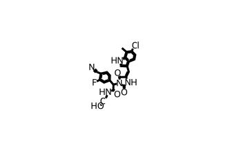 Cc1c(Cl)ccc2c(C=C3NC(=O)N(C(C(=O)NCCO)c4ccc(C#N)c(F)c4)C3=O)c[nH]c12